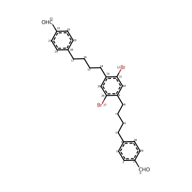 O=Cc1ccc(CCCCc2cc(Br)c(CCCCc3ccc(C=O)cc3)cc2Br)cc1